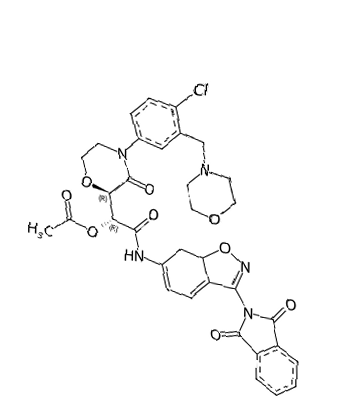 CC(=O)O[C@@H](C(=O)NC1=CC=C2C(N3C(=O)c4ccccc4C3=O)=NOC2C1)[C@H]1OCCN(c2ccc(Cl)c(CN3CCOCC3)c2)C1=O